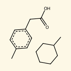 CC1CCCCC1.Cc1ccc(CC(=O)O)cc1